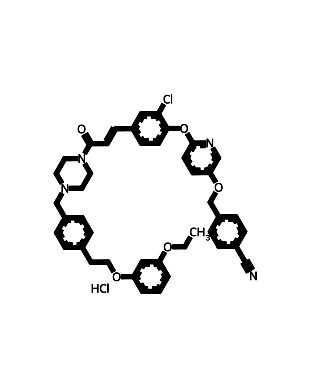 CCOc1cccc(OCCc2ccc(CN3CCN(C(=O)C=Cc4ccc(Oc5ccc(OCc6ccc(C#N)cc6)cn5)c(Cl)c4)CC3)cc2)c1.Cl